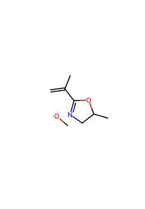 C=C(C)C1=NCC(C)O1.C[O]